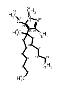 CCCCCCCC(C)(CCCCCC)c1c(C)nn(C)c1OC